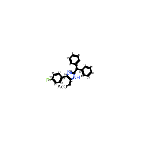 CC(=O)OCc1[nH]c(C(c2ccccc2)c2ccccc2)nc1-c1ccc(F)cc1